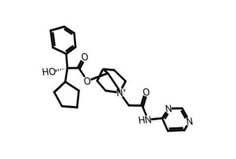 O=C(C[N+]12CCC(CC1)C(OC(=O)[C@](O)(c1ccccc1)C1CCCC1)C2)Nc1ccncn1